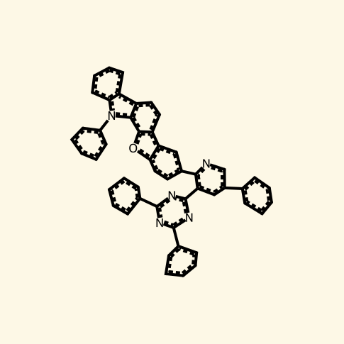 c1ccc(-c2cnc(-c3ccc4oc5c(ccc6c7ccccc7n(-c7ccccc7)c65)c4c3)c(-c3nc(-c4ccccc4)nc(-c4ccccc4)n3)c2)cc1